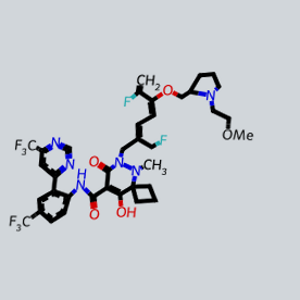 C=C(F)/C(=C\C=C(/CF)CN1C(=O)C(C(=O)Nc2ccc(C(F)(F)F)cc2-c2cc(C(F)(F)F)ncn2)=C(O)C2(CCC2)N1C)OCC1CCCN1CCOC